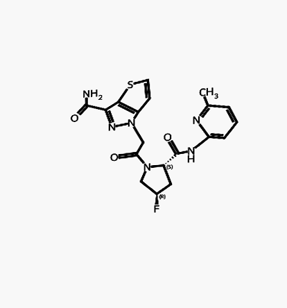 Cc1cccc(NC(=O)[C@@H]2C[C@@H](F)CN2C(=O)Cn2nc(C(N)=O)c3sccc32)n1